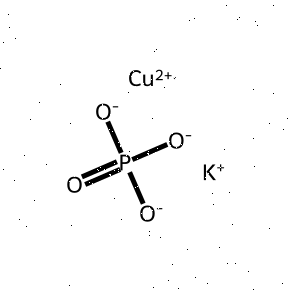 O=P([O-])([O-])[O-].[Cu+2].[K+]